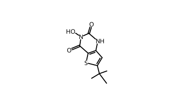 CC(C)(C)c1cc2[nH]c(=O)n(O)c(=O)c2s1